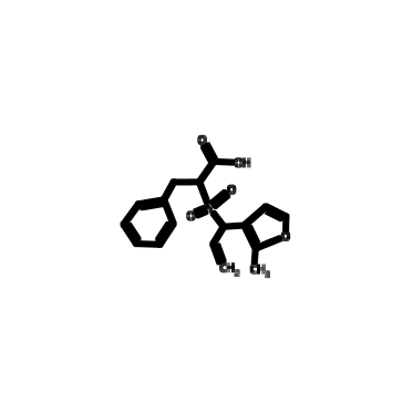 C=CC(c1ccoc1C)S(=O)(=O)C(Cc1ccccc1)C(=O)O